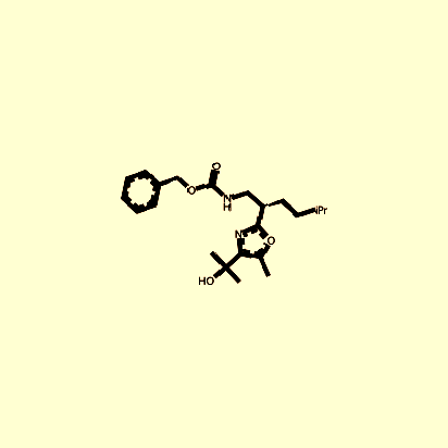 Cc1oc([C@H](CCC(C)C)CNC(=O)OCc2ccccc2)nc1C(C)(C)O